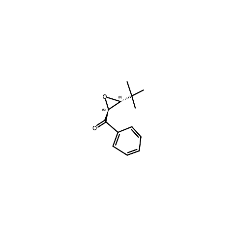 CC(C)(C)[C@H]1O[C@@H]1C(=O)c1ccccc1